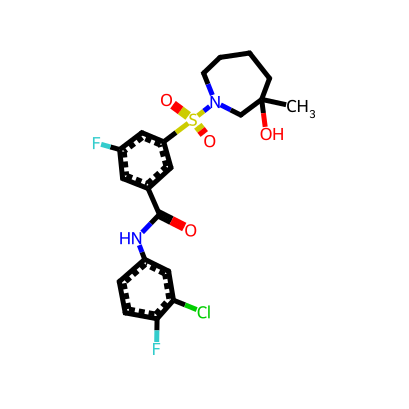 CC1(O)CCCCN(S(=O)(=O)c2cc(F)cc(C(=O)Nc3ccc(F)c(Cl)c3)c2)C1